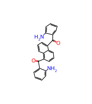 Nc1ccccc1C(=O)c1cccc2c(C(=O)c3ccccc3N)cccc12